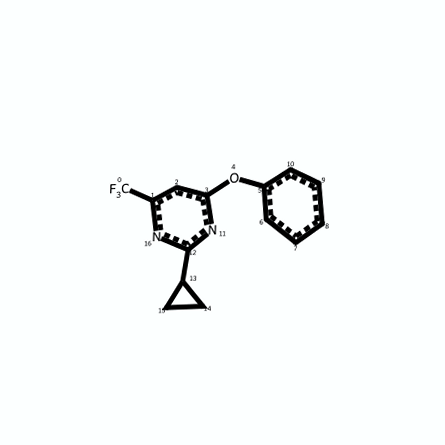 FC(F)(F)c1cc(Oc2ccccc2)nc(C2CC2)n1